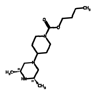 CCCCOC(=O)N1CCC(N2C[C@@H](C)N[C@@H](C)C2)CC1